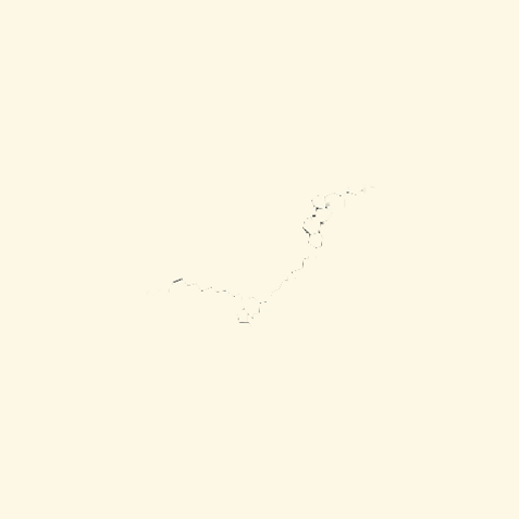 CCCCCCCC/C=C\CCCCCCCCOCC(CN1CCCC1C)OCCCOCCCO[C@H]1CC[C@@]2(C)C(=CC[C@H]3[C@@H]4CC[C@H]([C@H](C)CCCC(C)C)[C@@]4(C)CC[C@@H]32)C1